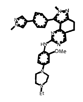 CCN1CCN(c2ccc(Nc3ncc4c(n3)-c3c(nn(C)c3-c3ccc(-c5cnn(C)c5)cc3)CC4)c(OC)c2)CC1